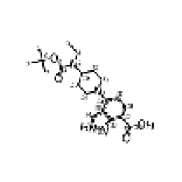 CCN(C(=O)OC(C)(C)C)C1CCN(c2ccc(C(=O)O)c3n[nH]cc23)CC1